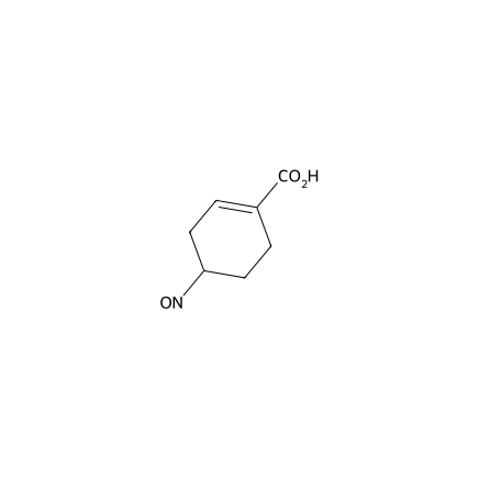 O=NC1CC=C(C(=O)O)CC1